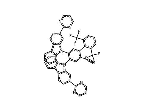 N#Cc1cc(-n2c3ccccc3c3ccc(-c4ncccn4)cc32)c(-n2c3ccccc3c3ccc(-c4ncccn4)cc32)cc1-c1c(C(F)(F)F)cccc1C(F)(F)F